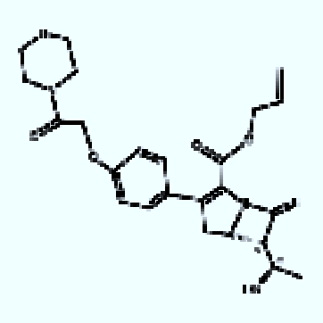 C=CCOC(=O)C1=C(c2ccc(OCC(=O)N3CCOCC3)cc2)CC2[C@@H]([C@@H](C)N=O)C(=O)N12